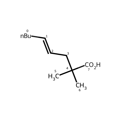 CCCC/C=C/CC(C)(C)C(=O)O